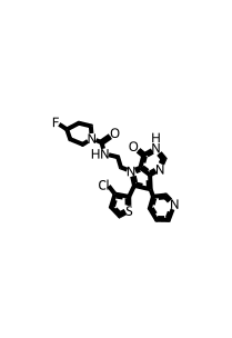 O=C(NCCn1c(-c2sccc2Cl)c(-c2cccnc2)c2nc[nH]c(=O)c21)N1CCC(F)CC1